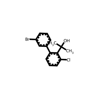 CC(C)(O)c1c(Cl)cccc1-c1cccc(Br)c1